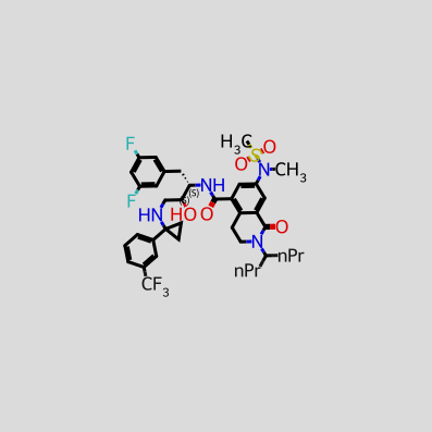 CCCC(CCC)N1CCc2c(C(=O)N[C@@H](Cc3cc(F)cc(F)c3)[C@@H](O)CNC3(c4cccc(C(F)(F)F)c4)CC3)cc(N(C)S(C)(=O)=O)cc2C1=O